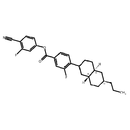 CCC[C@H]1CC[C@@H]2CC(c3ccc(C(=O)Oc4ccc(C#N)c(F)c4)cc3F)CC[C@H]2C1